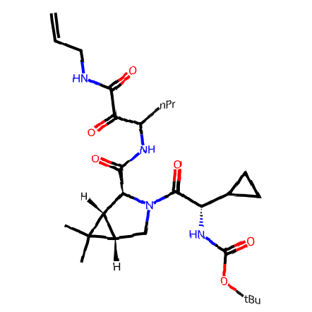 C=CCNC(=O)C(=O)C(CCC)NC(=O)[C@@H]1[C@@H]2[C@H](CN1C(=O)[C@@H](NC(=O)OC(C)(C)C)C1CC1)C2(C)C